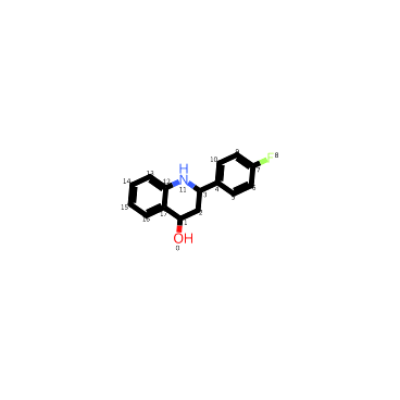 OC1CC(c2ccc(F)cc2)Nc2ccccc21